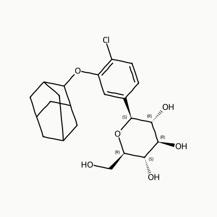 OC[C@H]1O[C@@H](c2ccc(Cl)c(OC3C4CC5CC(C4)CC3C5)c2)[C@H](O)[C@@H](O)[C@@H]1O